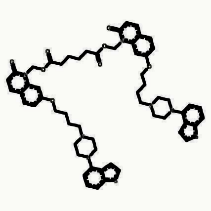 O=C(CCCCC(=O)OCn1c(=O)ccc2ccc(OCCCCN3CCN(c4cccc5sccc45)CC3)cc21)OCn1c(=O)ccc2ccc(OCCCCN3CCN(c4cccc5sccc45)CC3)cc21